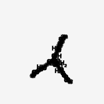 NC(=O)CCOCC(COCCC(=O)NCCCCCCCC(=O)NCCOCCOCCOCCC(=O)OCc1ccccc1)(COCCC(=O)NCCCCCCCC(=O)NCCOCCOCCOCCC(=O)OCc1ccccc1)COCCC(=O)NCCCCCCCC(=O)NCCOCCOCCOCCC(=O)OCc1ccccc1